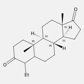 CCC1C(=O)CC[C@@]2(C)C1CC[C@@H]1[C@@H]2CC[C@]2(C)C(=O)CC[C@@H]12